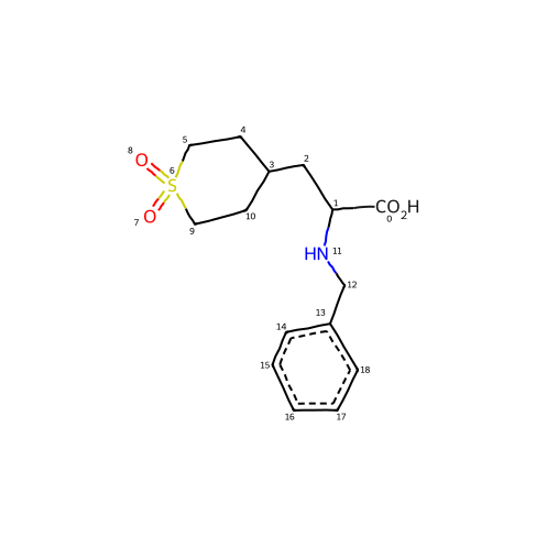 O=C(O)C(CC1CCS(=O)(=O)CC1)NCc1ccccc1